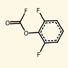 O=C(F)Oc1c(F)cccc1F